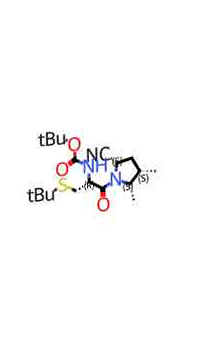 C[C@H]1C[C@@H](C#N)N(C(=O)[C@H](CSC(C)(C)C)NC(=O)OC(C)(C)C)[C@H]1C